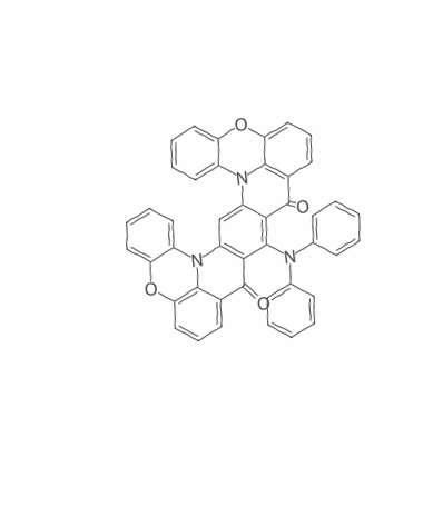 O=c1c2cccc3oc4ccccc4n(c4cc5c(c(N(c6ccccc6)c6ccccc6)c14)c(=O)c1cccc4oc6ccccc6n5c41)c32